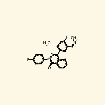 C/N=C\c1cc(-c2nn(-c3ccc(F)cc3)c(=O)c3ccccc23)ccc1F.O